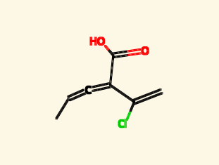 C=C(Cl)C(=C=CC)C(=O)O